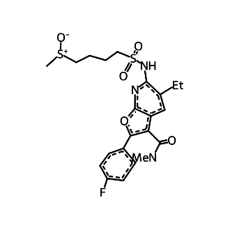 CCc1cc2c(C(=O)NC)c(-c3ccc(F)cc3)oc2nc1NS(=O)(=O)CCCC[S+](C)[O-]